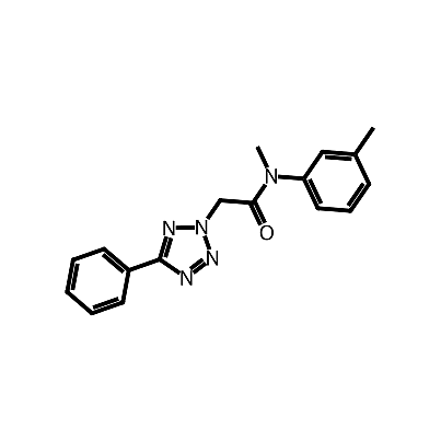 Cc1cccc(N(C)C(=O)Cn2nnc(-c3ccccc3)n2)c1